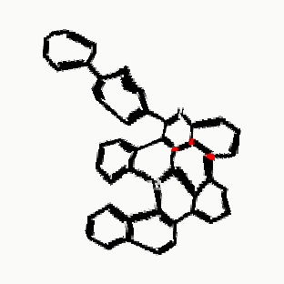 c1ccc(-c2ccc(-c3nc4ccccc4nc3-c3ccccc3N3c4c(ccc5ccccc45)-c4cccc5cccc3c45)cc2)cc1